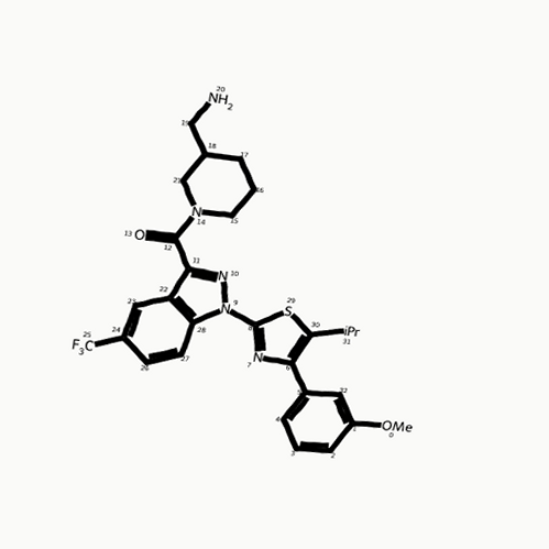 COc1cccc(-c2nc(-n3nc(C(=O)N4CCCC(CN)C4)c4cc(C(F)(F)F)ccc43)sc2C(C)C)c1